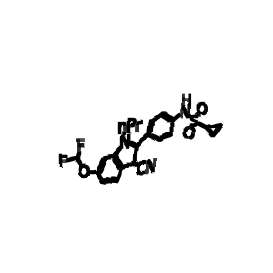 CCCN1c2cc(OC(F)F)ccc2C(C#N)C1c1ccc(NS(=O)(=O)C2CC2)cc1